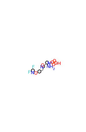 Nc1c(-c2cc(Cc3ccc(Oc4cc(F)cc(F)n4)cc3)no2)ccc[n+]1COP(=O)([O-])O